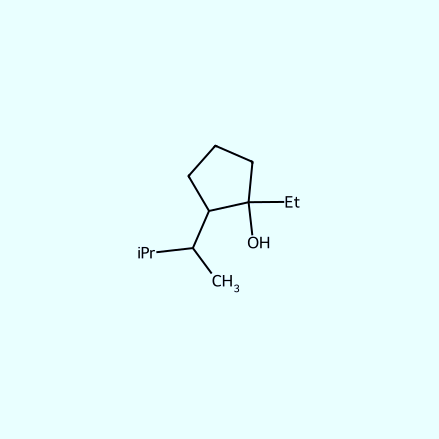 CCC1(O)CCCC1C(C)C(C)C